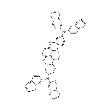 c1ccc2cc(N(c3ccc4c(c3)Sc3ccc5c6c3=C4CCC=6c3ccc(N(c4ccc6ccccc6c4)c4ccc6ccccc6c4)cc3S5)c3ccc4ccccc4c3)ccc2c1